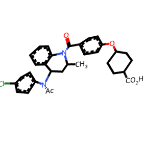 CC(=O)N(c1ccc(Cl)cc1)C1CC(C)N(C(=O)c2ccc(OC3CCC(C(=O)O)CC3)cc2)c2ccccc21